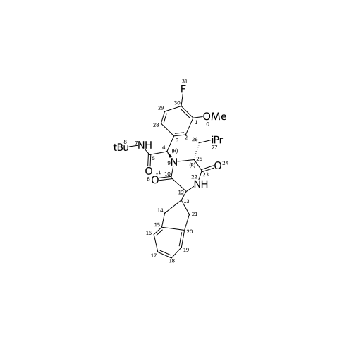 COc1cc([C@H](C(=O)NC(C)(C)C)N2C(=O)C(C3Cc4ccccc4C3)NC(=O)[C@H]2CC(C)C)ccc1F